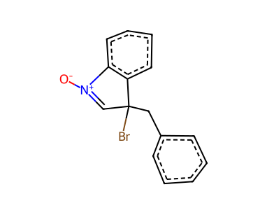 [O-][N+]1=CC(Br)(Cc2ccccc2)c2ccccc21